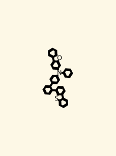 c1ccc(N(c2ccc(-c3ccccc3-c3cccc4c3sc3ccccc34)cc2)c2ccc3c(c2)oc2ccccc23)cc1